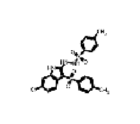 Cc1ccc(S(=O)(=O)NNc2[nH]c3cc(Cl)ccc3c2S(=O)(=O)c2ccc(C)cc2)cc1